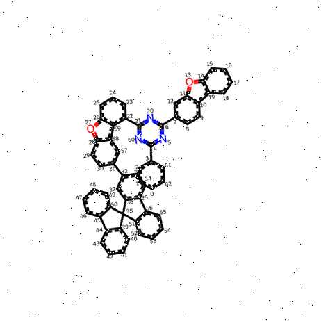 c1ccc(-c2nc(-c3ccc4c(c3)oc3ccccc34)nc(-c3cccc4oc5ccc(-c6ccc7c(c6)C6(c8ccccc8-c8ccccc86)c6ccccc6-7)cc5c34)n2)cc1